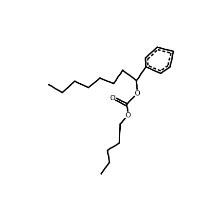 CCCCCCCC(OC(=O)OCCCCC)c1ccccc1